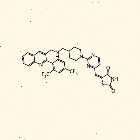 O=C1NC(=O)/C(=C\c2ccnc(N3CCC(CNCc4cc5ccccc5nc4-c4ccc(C(F)(F)F)cc4C(F)(F)F)CC3)n2)S1